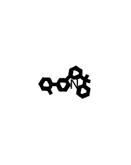 Cc1ccccc1-c1ccc2c(c1)c1cccc3c1n2-c1ccccc1C3(C)C